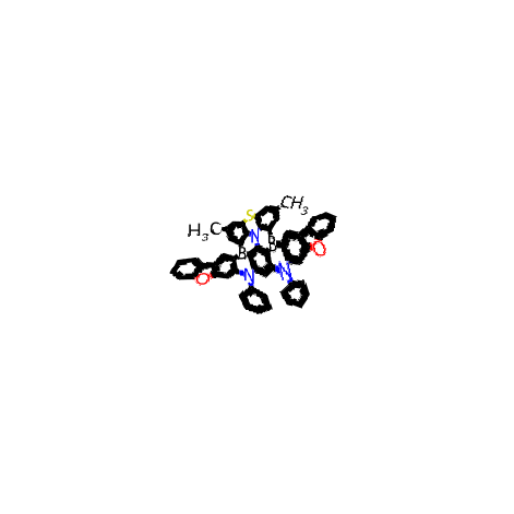 Cc1cc2c3c(c1)B1c4cc5c(cc4N(c4ccccc4)c4cc6c7c(c41)N3c1c(cc(C)cc1B7c1cc3c(cc1N6c1ccccc1)oc1ccccc13)S2)oc1ccccc15